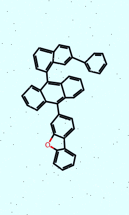 c1ccc(-c2ccc3cccc(-c4c5ccccc5c(-c5ccc6c(c5)oc5ccccc56)c5ccccc45)c3c2)cc1